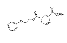 COC(=O)c1cccc(C(=O)OCCOc2ccccc2)c1